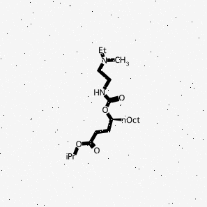 [CH2]C([CH2])OC(=O)CC[C@H](CCCCCCCC)OC(=O)NCCN(C)CC